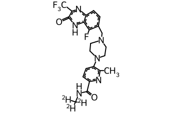 [2H]C([2H])([2H])NC(=O)c1ccc(N2CCN(Cc3ccc4nc(C(F)(F)F)c(=O)[nH]c4c3F)CC2)c(C)n1